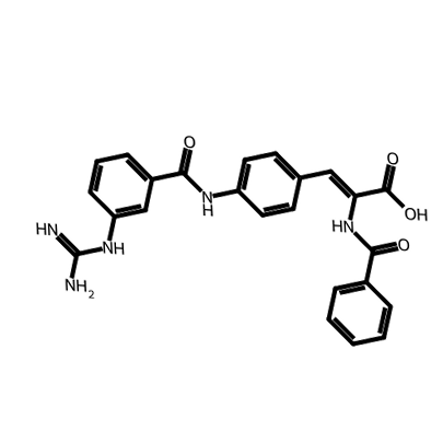 N=C(N)Nc1cccc(C(=O)Nc2ccc(C=C(NC(=O)c3ccccc3)C(=O)O)cc2)c1